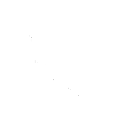 CC(C)(C)N1CCN(CC(=O)Nc2cccnc2)CC1